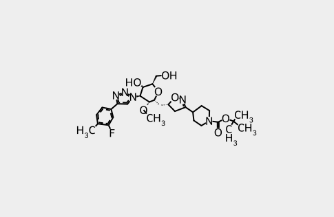 CO[C@@H]1[C@@H](n2cc(-c3ccc(C)c(F)c3)nn2)[C@@H](O)[C@@H](CO)O[C@@H]1C[C@H]1CC(C2CCN(C(=O)OC(C)(C)C)CC2)=NO1